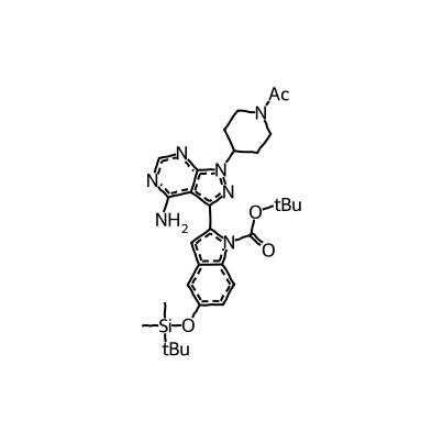 CC(=O)N1CCC(n2nc(-c3cc4cc(O[Si](C)(C)C(C)(C)C)ccc4n3C(=O)OC(C)(C)C)c3c(N)ncnc32)CC1